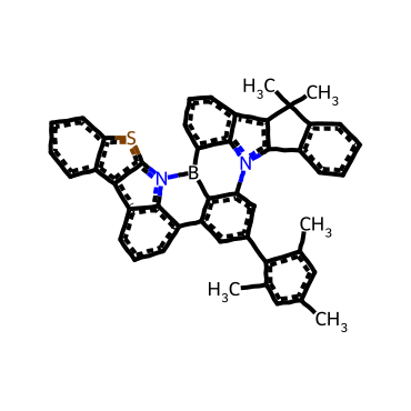 Cc1cc(C)c(-c2cc3c4c(c2)-n2c5c(c6cccc(c62)B4n2c4sc6ccccc6c4c4cccc-3c42)C(C)(C)c2ccccc2-5)c(C)c1